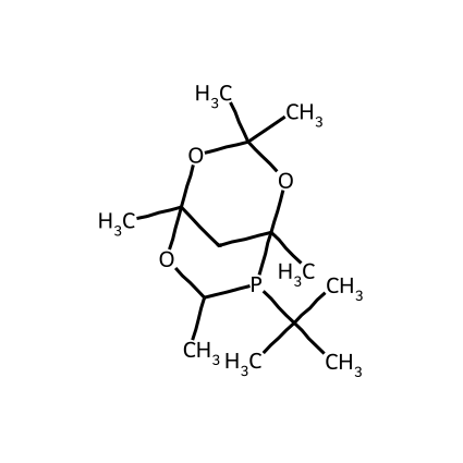 CC1OC2(C)CC(C)(OC(C)(C)O2)P1C(C)(C)C